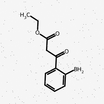 Bc1ccccc1C(=O)CC(=O)OCC